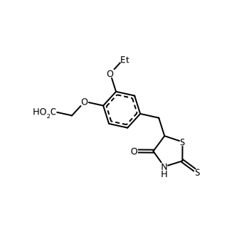 CCOc1cc(CC2SC(=S)NC2=O)ccc1OCC(=O)O